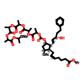 COC(C)OC(=O)C(C)OC(=O)C(C)OC(=O)C(C)OC(=O)C(C)OC(=O)C(C)OC(=O)O[C@@H]1C[C@H](OC(C)=O)[C@H](C/C=C\CCCC(=O)OC(C)C)[C@H]1/C=C/[C@@H](O)CCc1ccccc1